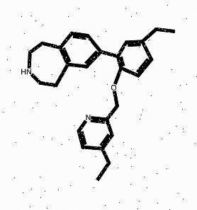 CCc1ccnc(COc2ccc(CC)cc2-c2ccc3c(c2)CCNCC3)c1